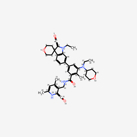 CCN1C(=C=O)C2(CCOCC2)c2ccc(-c3cc(C(=O)NCC4=C(C)C=C(C)NC4=C=O)c(C)c(N(CC)C4CCOCC4)c3)cc21